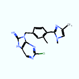 Cc1cc(Cn2c(=N)[nH]c3cnc(Cl)nc32)ccc1-c1nc(C(F)(F)F)cn1C